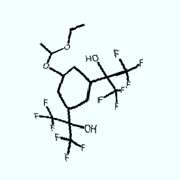 CCOC(C)OC1CC(C(O)(C(F)(F)F)C(F)(F)F)CC(C(O)(C(F)(F)F)C(F)(F)F)C1